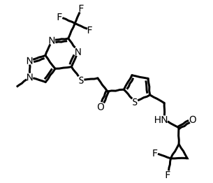 Cn1cc2c(SCC(=O)c3ccc(CNC(=O)C4CC4(F)F)s3)nc(C(F)(F)F)nc2n1